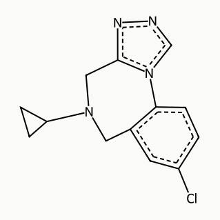 Clc1ccc2c(c1)CN(C1CC1)Cc1nncn1-2